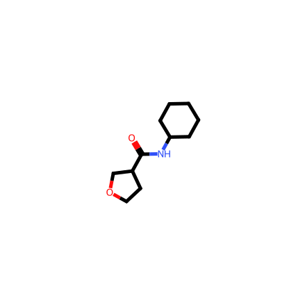 O=C(NC1CCCCC1)C1CCOC1